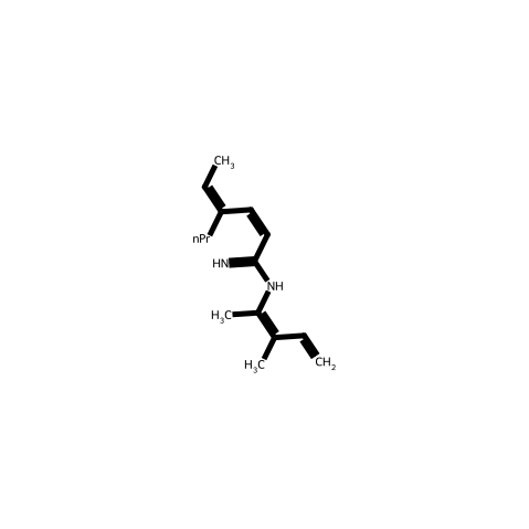 C=C/C(C)=C(/C)NC(=N)/C=C\C(=C/C)CCC